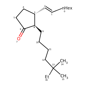 CCCCCCC=C[C@H]1CCC(=O)[C@@H]1CCCCC(C)(C)CC